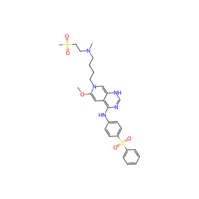 COC1=CC2=C(Nc3ccc(S(=O)(=O)c4ccccc4)cc3)N=CNC2=CN1CCCCN(C)CCS(C)(=O)=O